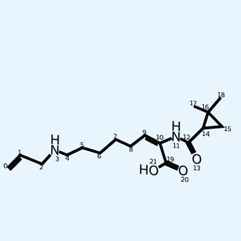 C=CCNCCCCC/C=C(/NC(=O)C1CC1(C)C)C(=O)O